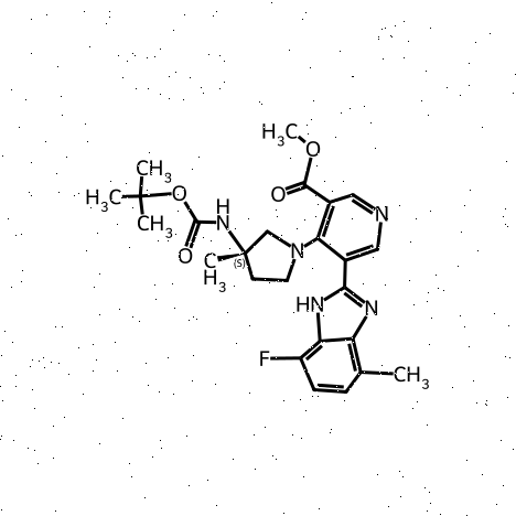 COC(=O)c1cncc(-c2nc3c(C)ccc(F)c3[nH]2)c1N1CC[C@](C)(NC(=O)OC(C)(C)C)C1